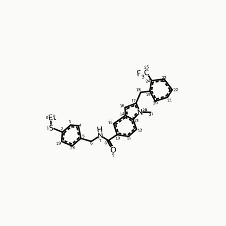 CCSc1ccc(CNC(=O)c2ccc3c(c2)cc(Cc2ccccc2C(F)(F)F)n3C)cc1